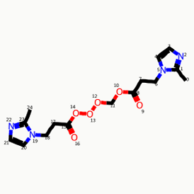 Cc1nccn1CCC(=O)OCOOOC(=O)CCn1ccnc1C